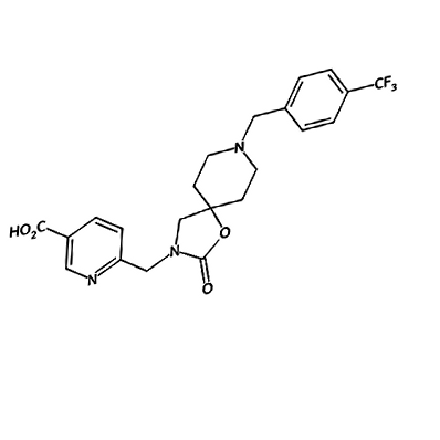 O=C(O)c1ccc(CN2CC3(CCN(Cc4ccc(C(F)(F)F)cc4)CC3)OC2=O)nc1